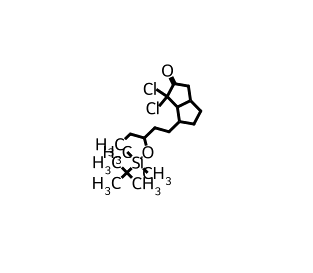 CCC(CCC1CCC2CC(=O)C(Cl)(Cl)C12)O[Si](C)(C)C(C)(C)C